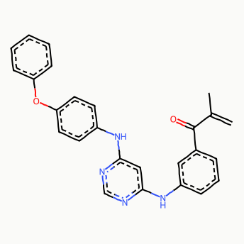 C=C(C)C(=O)c1cccc(Nc2cc(Nc3ccc(Oc4ccccc4)cc3)ncn2)c1